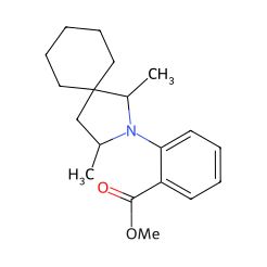 COC(=O)c1ccccc1N1C(C)CC2(CCCCC2)C1C